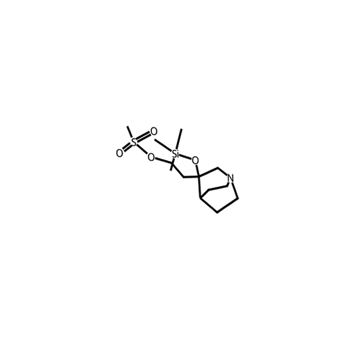 C[Si](C)(C)OC1(CCOS(C)(=O)=O)CN2CCC1CC2